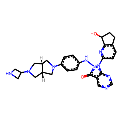 O=c1c2cncnc2n(-c2ccc3c(n2)C(O)CC3)n1Nc1ccc(N2C[C@@H]3CN(C4CNC4)C[C@@H]3C2)cc1